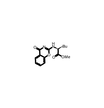 CC[C@H](C)[C@H](Nc1nc(=O)c2ccccc2o1)C(=O)OC